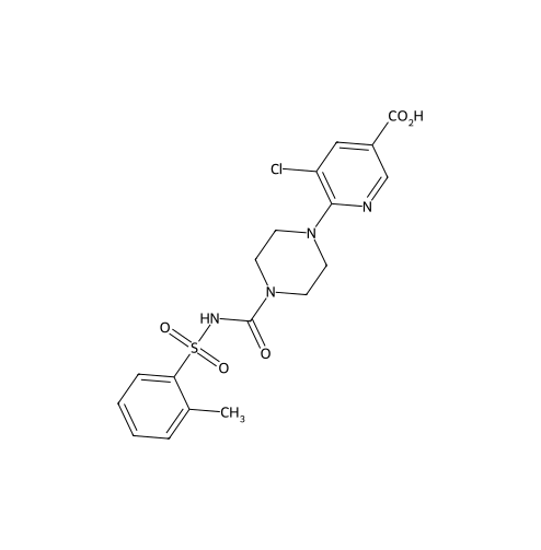 Cc1ccccc1S(=O)(=O)NC(=O)N1CCN(c2ncc(C(=O)O)cc2Cl)CC1